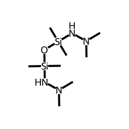 CN(C)N[Si](C)(C)O[Si](C)(C)NN(C)C